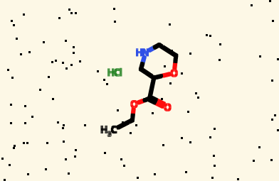 CCOC(=O)C1CNCCO1.Cl